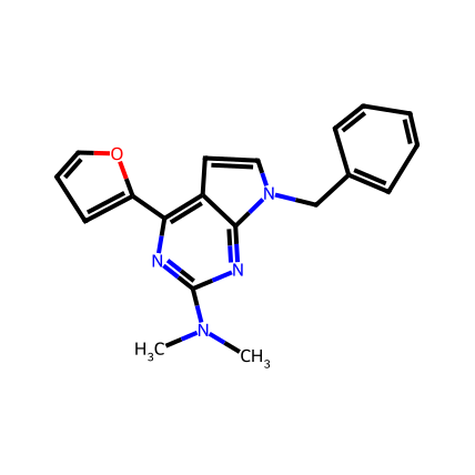 CN(C)c1nc(-c2ccco2)c2ccn(Cc3ccccc3)c2n1